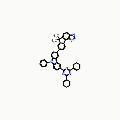 CC1(C)c2cc(-c3ccc4c(c3)c3cc(-c5nc(C6=CCCC=C6)nc(C6=CC=CCC6)n5)ccc3n4-c3ccccc3)ccc2-c2c1ccc1ncoc21